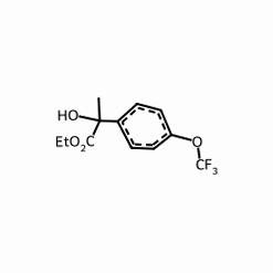 CCOC(=O)C(C)(O)c1ccc(OC(F)(F)F)cc1